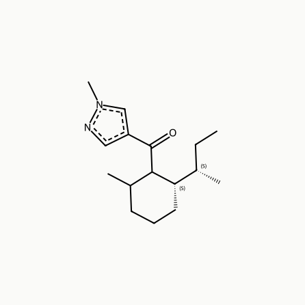 CC[C@H](C)[C@@H]1CCCC(C)C1C(=O)c1cnn(C)c1